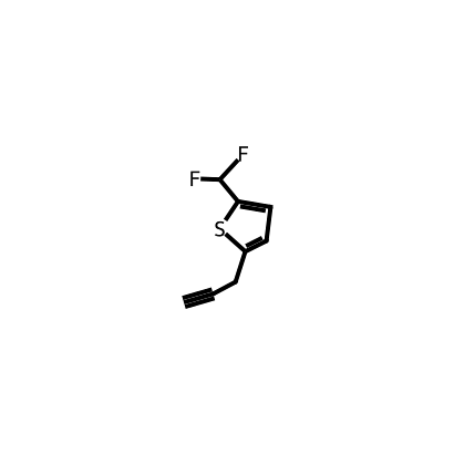 C#CCc1ccc(C(F)F)s1